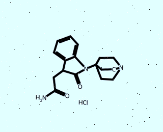 Cl.NC(=O)CC1C(=O)N(C23CCN(CC2)CC3)c2ccccc21